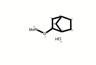 CNOC1CC2CCC1C2.Cl